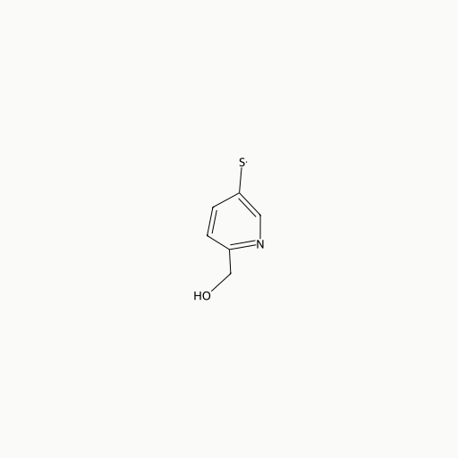 OCc1ccc([S])cn1